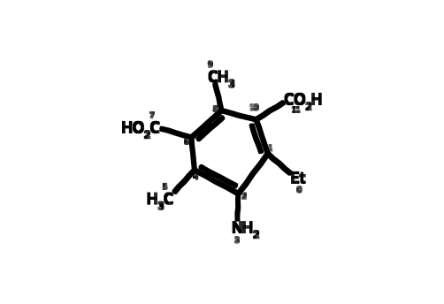 CCc1c(N)c(C)c(C(=O)O)c(C)c1C(=O)O